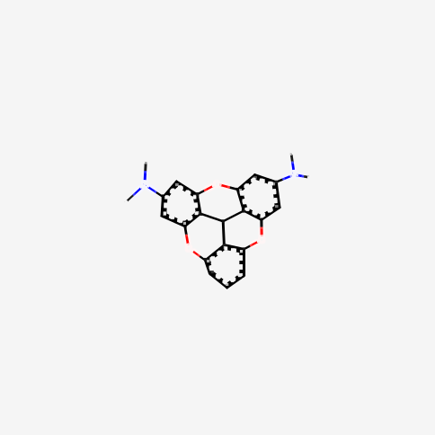 CCN(CC)c1cc2c3c(c1)Oc1cc(N(CC)CC)cc4c1C3c1c(cccc1O4)O2